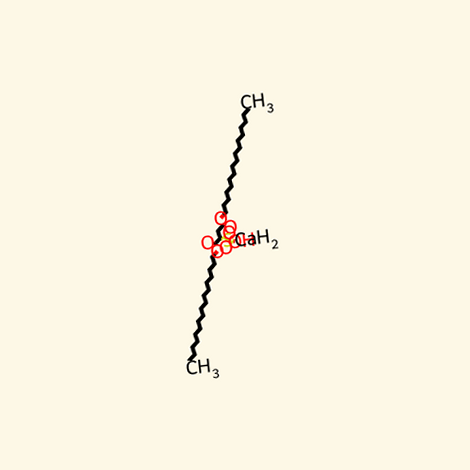 CCCCCCCCCCCCCCCCCCOC(=O)CC(C(=O)OCCCCCCCCCCCCCCCCCC)S(=O)(=O)O.[CaH2]